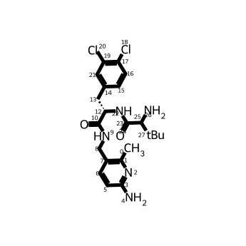 Cc1nc(N)ccc1CNC(=O)[C@H](Cc1ccc(Cl)c(Cl)c1)NC(=O)C(N)C(C)(C)C